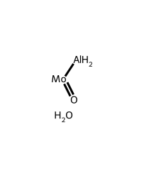 O.[O]=[Mo][AlH2]